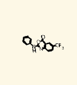 O=c1oc(Nc2ccccc2)nc2ccc(C(F)(F)F)cc12